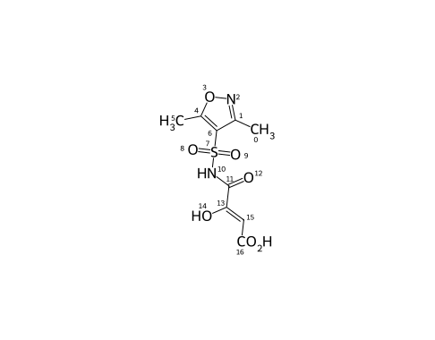 Cc1noc(C)c1S(=O)(=O)NC(=O)C(O)=CC(=O)O